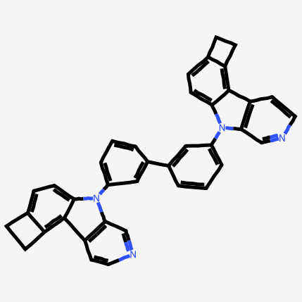 c1cc(-c2cccc(-n3c4cnccc4c4c5c(ccc43)CC5)c2)cc(-n2c3cnccc3c3c4c(ccc32)CC4)c1